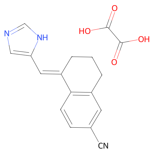 N#Cc1ccc2c(c1)CCCC2=Cc1cnc[nH]1.O=C(O)C(=O)O